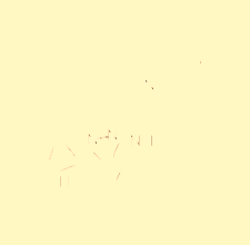 Cc1ccccc1-c1nnc(N[C@@H]2CC3CN(CC4CCOCC4)C[C@H]3C2)c2ccsc12